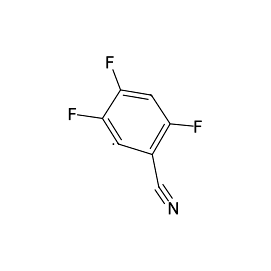 N#Cc1[c]c(F)c(F)cc1F